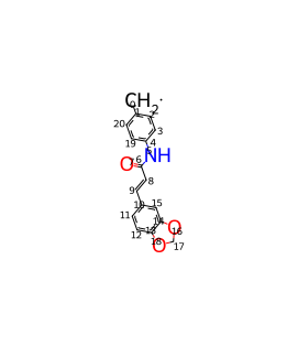 [CH2]c1ccc(NC(=O)C=Cc2ccc3c(c2)OCO3)cc1